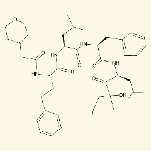 CC(C)C[C@H](NC(=O)[C@H](CCc1ccccc1)NC(=O)CN1CCOCC1)C(=O)N[C@@H](Cc1ccccc1)C(=O)N[C@@H](CC(C)C)C(=O)C(C)(O)CI